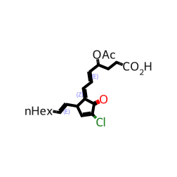 CCCCCC/C=C/C1C=C(Cl)C(=O)/C1=C\C=C\C(CCC(=O)O)OC(C)=O